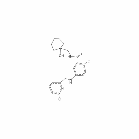 O=C(NCC1(O)CCCCC1)c1cc(NCc2ccnc(Cl)n2)ccc1Cl